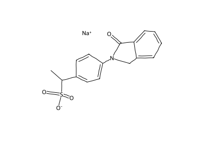 CC(c1ccc(N2Cc3ccccc3C2=O)cc1)S(=O)(=O)[O-].[Na+]